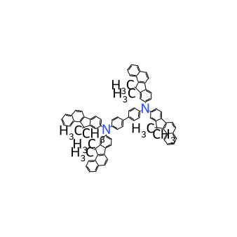 CC1(C)c2cc(N(c3ccc(-c4ccc(N(c5ccc6c(c5)C(C)(C)c5c-6ccc6ccccc56)c5ccc6c(c5)C(C)(C)c5c-6ccc6ccccc56)cc4)cc3)c3ccc4c(c3)C(C)(C)c3c-4ccc4ccccc34)ccc2-c2ccc3ccccc3c21